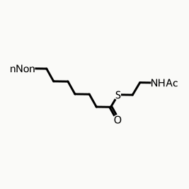 CCCCCCCCCCCCCCCC(=O)SCCNC(C)=O